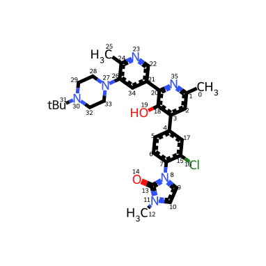 Cc1cc(-c2ccc(-n3ccn(C)c3=O)c(Cl)c2)c(O)c(-c2cnc(C)c(N3CCN(C(C)(C)C)CC3)c2)n1